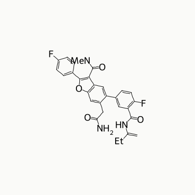 C=C(CC)NC(=O)c1cc(-c2cc3c(C(=O)NC)c(-c4ccc(F)cc4)oc3cc2CC(N)=O)ccc1F